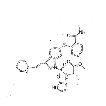 CNC(=O)c1ccccc1Sc1ccc2c(/C=C/c3ccccn3)nn(P(=O)(N[C@@H](C)C(=O)OC)Oc3ccc[nH]3)c2c1